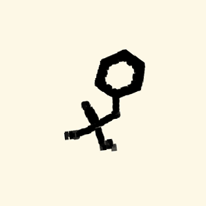 O=[N+]([O-])P(=O)(O)Oc1ccccc1